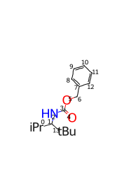 CC(C)C(NC(=O)OCc1ccccc1)C(C)(C)C